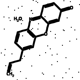 C=CCc1ccc2nc3ccc(=O)cc-3oc2c1.O